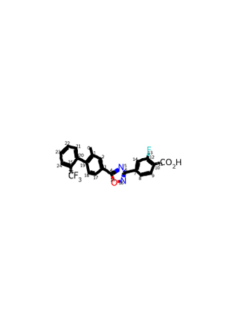 Cc1cc(-c2nc(-c3ccc(C(=O)O)c(F)c3)no2)ccc1-c1ccccc1C(F)(F)F